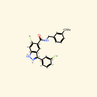 COc1cccc(CNC(=O)c2cc3c(-c4cccc(F)c4)n[nH]c3cc2F)c1